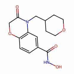 O=C(NO)c1ccc2c(c1)N(CC1CCOCC1)C(=O)CO2